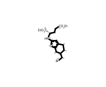 CCOC(=O)CC[C@H](Nc1cc2c(s1)CC(CBr)CC2)C(=O)OCC